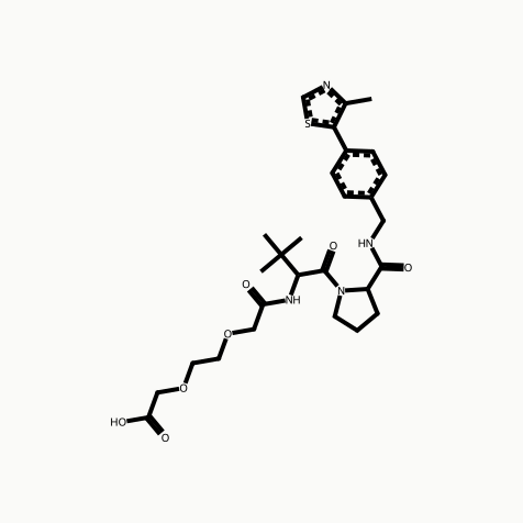 Cc1ncsc1-c1ccc(CNC(=O)C2CCCN2C(=O)C(NC(=O)COCCOCC(=O)O)C(C)(C)C)cc1